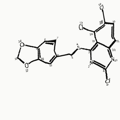 Clc1nc(SCc2ccc3c(c2)OCO3)c2c(Cl)c(Cl)ccc2n1